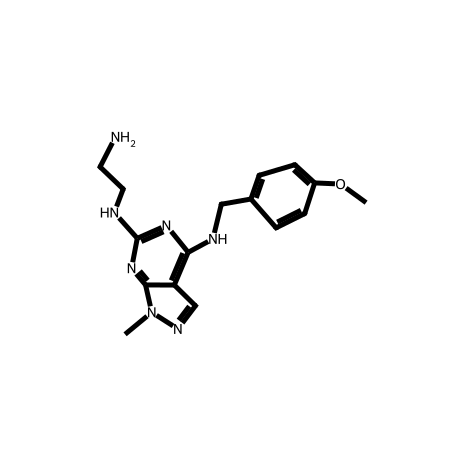 COc1ccc(CNc2nc(NCCN)nc3c2cnn3C)cc1